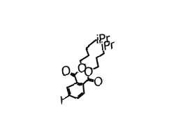 CC(C)CCCOC(=O)c1ccc(I)cc1C(=O)OCCCC(C)C